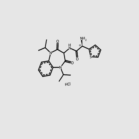 CC(C)N1C(=O)C(NC(=O)[C@@H](N)c2cccs2)C(=O)N(C(C)C)c2ccccc21.Cl